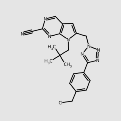 CC(C)(C)Cn1c(Cn2nnc(-c3ccc(CCl)cc3)n2)cc2cnc(C#N)nc21